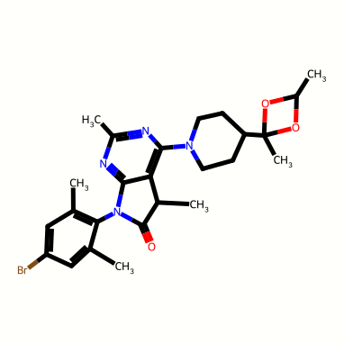 Cc1nc(N2CCC(C3(C)OC(C)O3)CC2)c2c(n1)N(c1c(C)cc(Br)cc1C)C(=O)C2C